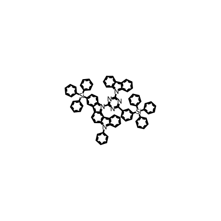 c1ccc(-n2c3ccccc3c3c2ccc2c4cc([Si](c5ccccc5)(c5ccccc5)c5ccccc5)ccc4n(-c4nc(-c5cccc([Si](c6ccccc6)(c6ccccc6)c6ccccc6)c5)nc(-n5c6ccccc6c6ccccc65)n4)c23)cc1